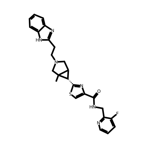 CC12CN(CCc3nc4ccccc4[nH]3)CC1[C@@H]2c1nc(C(=O)NCc2ncccc2F)cs1